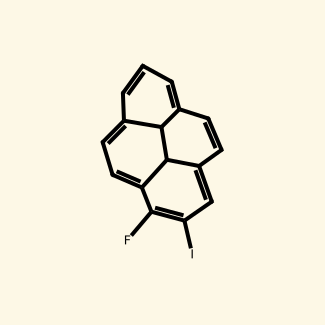 FC1=C(I)C=C2C=CC3=CC=CC4=CC=C1C2C34